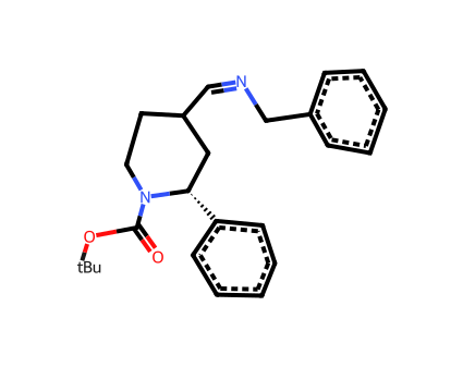 CC(C)(C)OC(=O)N1CCC(/C=N\Cc2ccccc2)C[C@@H]1c1ccccc1